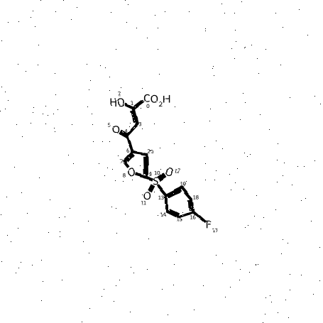 O=C(O)C(O)=CC(=O)c1coc(S(=O)(=O)c2ccc(F)cc2)c1